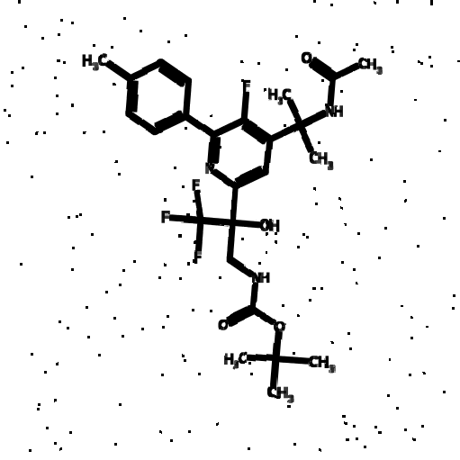 CC(=O)NC(C)(C)c1cc(C(O)(CNC(=O)OC(C)(C)C)C(F)(F)F)nc(-c2ccc(C)cc2)c1F